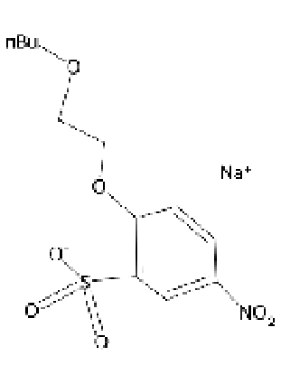 CCCCOCCOc1ccc([N+](=O)[O-])cc1S(=O)(=O)[O-].[Na+]